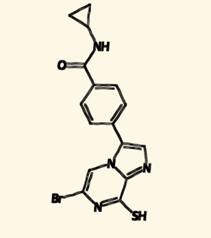 O=C(NC1CC1)c1ccc(-c2cnc3c(S)nc(Br)cn23)cc1